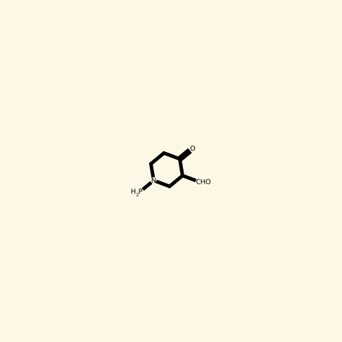 O=CC1CN(P)CCC1=O